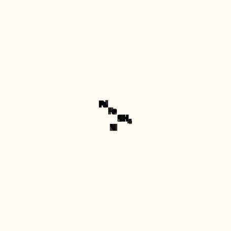 [Fe].[Ni].[Pd].[SiH4]